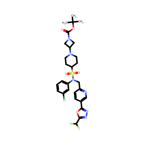 CC(C)(C)OC(=O)N1CC(N2CCC(S(=O)(=O)N(Cc3ccc(-c4nnc(C(F)F)o4)cn3)c3cccc(Cl)c3)CC2)C1